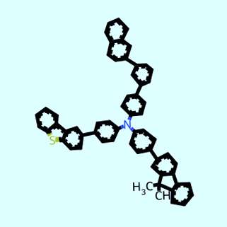 CC1(C)c2ccccc2-c2ccc(-c3ccc(N(c4ccc(-c5cccc(-c6ccc7ccccc7c6)c5)cc4)c4ccc(-c5ccc6sc7ccccc7c6c5)cc4)cc3)cc21